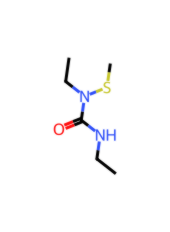 CCNC(=O)N(CC)SC